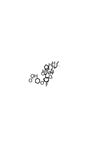 CC[C@H](C)CNC(=O)[C@H]1[C@@H]2CC[C@@H](C2)[C@H]1NC(=O)c1cc(O[C@H]2CC[C@@H](C(=O)O)CC2)c(F)cc1OC